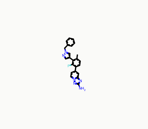 Cc1ccc(-c2ccn3nc(N)nc3c2)c(F)c1-c1cnn(Cc2ccccc2)c1